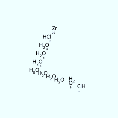 Cl.Cl.O.O.O.O.O.O.O.O.[Zr]